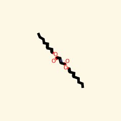 CCCCC=CC=COC(=O)/C=C/C(=O)OC=CC=CCCCC